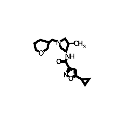 C[C@@H]1CN(CC2CCCOC2)C[C@H]1NC(=O)c1cc(C2CC2)on1